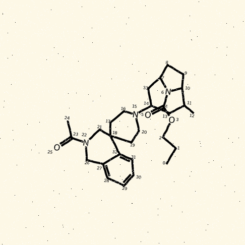 CCCOC(=O)N1C2CCC1C(C)CC(N1CCC3(CC1)CN(C(C)=O)Cc1ccccc13)C2